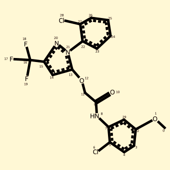 COc1ccc(Cl)c(NC(=O)COc2cc(C(F)(F)F)nn2-c2ccccc2Cl)c1